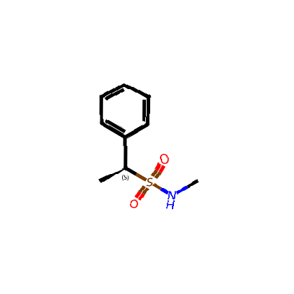 CNS(=O)(=O)[C@@H](C)c1ccccc1